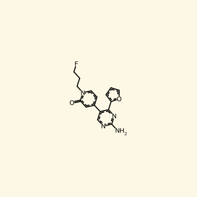 Nc1ncc(-c2ccn(CCCF)c(=O)c2)c(-c2ccco2)n1